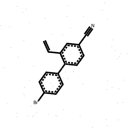 C=Cc1cc(C#N)ccc1-c1ccc(Br)cc1